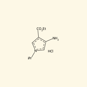 CCOC(=O)c1cn(C(C)C)cc1N.Cl